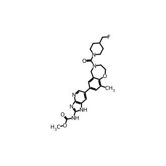 COC(=O)Nc1nc2ncc(-c3cc(C)c4c(c3)CN(C(=O)N3CCC(CF)CC3)CCO4)cc2[nH]1